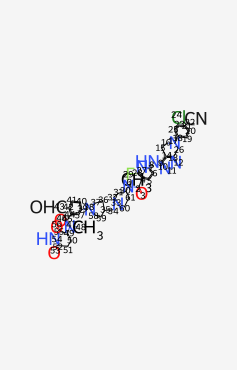 CN(C(=O)c1ccc(Nc2ncnc3c2CCN(c2ccc(C#N)c(Cl)c2)C3)nc1F)C1CCN(CC2CCN(c3ccc(C=O)c(C(=O)N(C)C4CCC(=O)NC4=O)c3)CC2)CC1